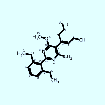 CC/C=C(\CCC)c1c(C)nc(-c2c(CC)cccc2CC)nc1OC